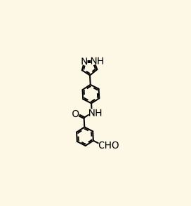 O=Cc1cccc(C(=O)Nc2ccc(-c3cn[nH]c3)cc2)c1